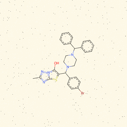 Cc1nc2sc(C(c3ccc(Br)cc3)N3CCN(C(c4ccccc4)c4ccccc4)CC3)c(O)n2n1